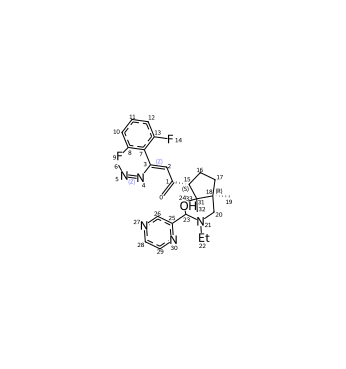 C=C(/C=C(\N=N/C)c1c(F)cccc1F)[C@@H]1CC[C@@](C)(CN(CC)C(O)c2cnccn2)C1(C)C